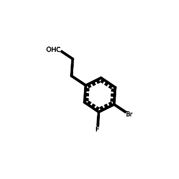 O=CCCc1ccc(Br)c(F)c1